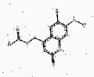 CC(C)Oc1cc2oc(=O)cc(COC(=O)C(C)C)c2cc1Br